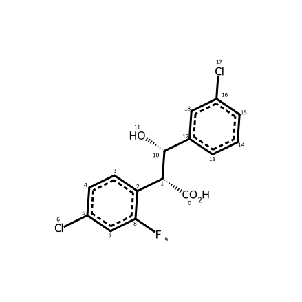 O=C(O)[C@H](c1ccc(Cl)cc1F)[C@H](O)c1cccc(Cl)c1